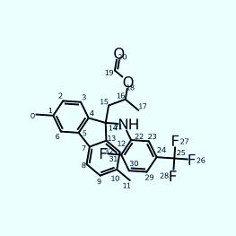 Cc1ccc2c(c1)-c1ccc(C)cc1C2(CC(C)OC=O)Nc1cc(C(F)(F)F)ccc1F